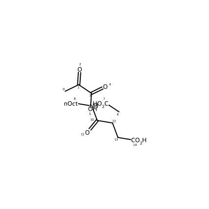 CC(=O)C(=O)O.CC(=O)O.CCCCCCCCNC(=O)CCC(=O)O